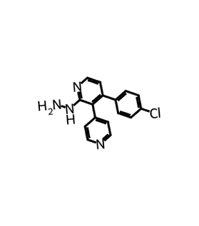 NNc1nccc(-c2ccc(Cl)cc2)c1-c1ccncc1